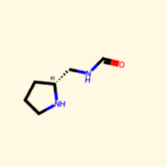 O=[C]NC[C@H]1CCCN1